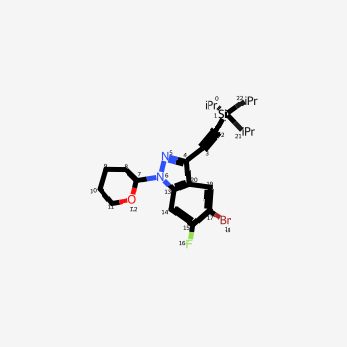 CC(C)[Si](C#Cc1nn(C2CCCCO2)c2cc(F)c(Br)cc12)(C(C)C)C(C)C